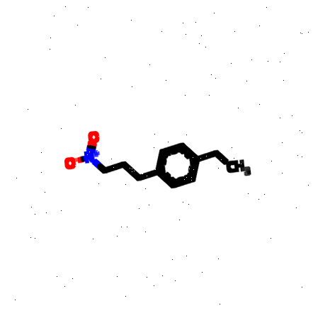 CCc1ccc(CCC[N+](=O)[O-])cc1